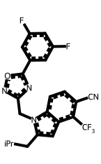 CC(C)Cc1cc2c(C(F)(F)F)c(C#N)ccc2n1Cc1noc(-c2cc(F)cc(F)c2)n1